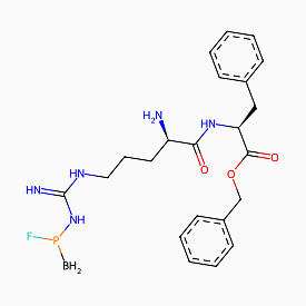 BP(F)NC(=N)NCCC[C@@H](N)C(=O)N[C@@H](Cc1ccccc1)C(=O)OCc1ccccc1